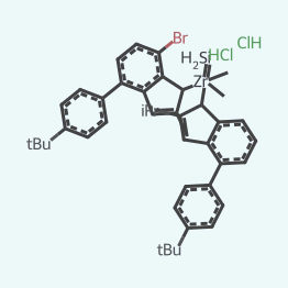 CC1=Cc2c(-c3ccc(C(C)(C)C)cc3)ccc(Br)c2[CH]1[Zr]([CH3])([CH3])(=[SiH2])[CH]1C(C(C)C)=Cc2c(-c3ccc(C(C)(C)C)cc3)cccc21.Cl.Cl